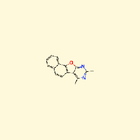 Cc1nc(C)c2c(n1)oc1c3ccccc3ccc12